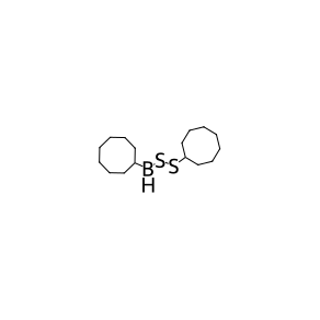 B(SSC1CCCCCCC1)C1CCCCCCC1